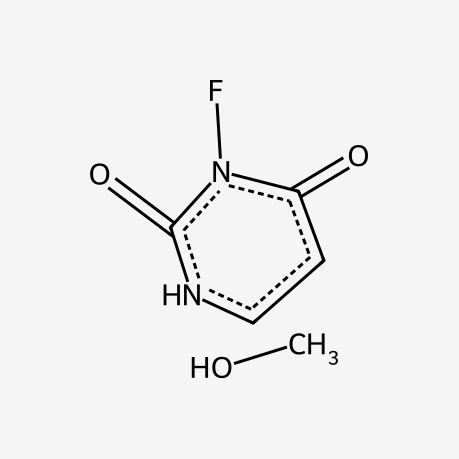 CO.O=c1cc[nH]c(=O)n1F